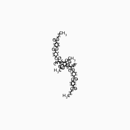 [C-]#[N+]C(C(=O)OC1CCC(C(=O)Oc2ccc(C(=O)OCCCC)cc2)CC1)=C1Sc2c(OC(C)=O)c3c(c(OC(C)=O)c2S1)SC(=C([N+]#[C-])C(=O)OC1CCC(C(=O)Oc2ccc(C(=O)OCCCC)cc2)CC1)S3